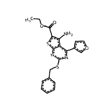 CCOC(=O)c1sc2nc(SCc3ccccc3)nc(-c3ccoc3)c2c1N